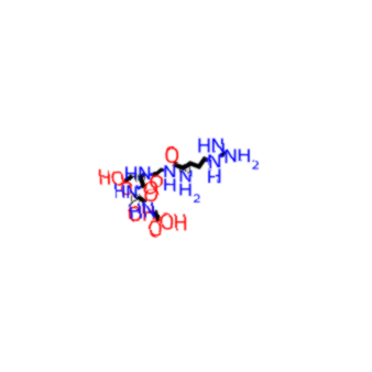 N=C(N)NCCC[C@H](N)C(=O)NCC(=O)N[C@@H](CC(=O)O)C(=O)N[C@@H](CO)C(=O)NCC(=O)O